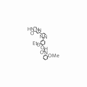 CCOc1cc(-c2nccc(-c3cc4n(n3)CCNC4=O)n2)ccc1OCC(=O)Nc1ccccc1OC